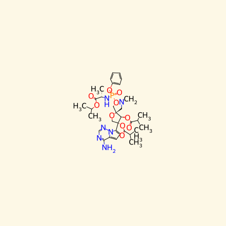 C=NC[C@]1(CO[P@@](=O)(N[C@@H](C)C(=O)OC(C)C)Oc2ccccc2)OC[C@](OC(=O)C(C)C)(c2ccc3c(N)ncnn23)[C@@H]1OC(=O)C(C)C